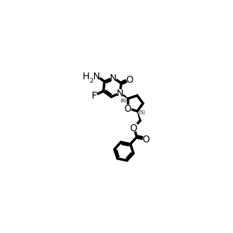 Nc1nc(=O)n([C@H]2CC[C@@H](COC(=O)c3ccccc3)O2)cc1F